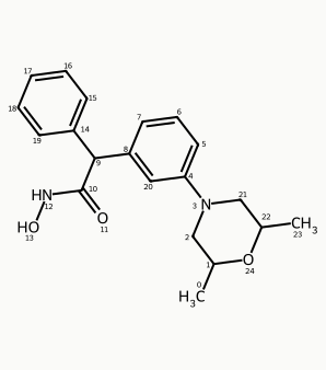 CC1CN(c2cccc(C(C(=O)NO)c3ccccc3)c2)CC(C)O1